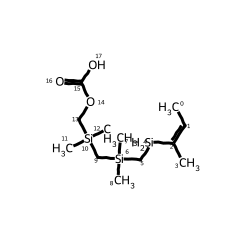 CC=C(C)[SiH2]C[Si](C)(C)C[Si](C)(C)COC(=O)O